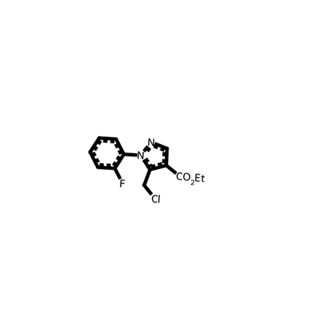 CCOC(=O)c1cnn(-c2ccccc2F)c1CCl